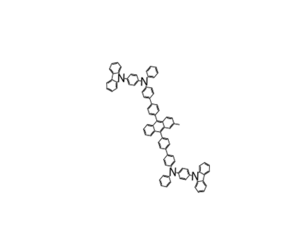 Cc1ccc2c(-c3ccc(-c4ccc(N(c5ccccc5)c5ccc(-n6c7ccccc7c7ccccc76)cc5)cc4)cc3)c3ccccc3c(-c3ccc(-c4ccc(N(c5ccccc5)c5ccc(-n6c7ccccc7c7ccccc76)cc5)cc4)cc3)c2c1